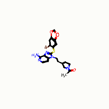 CC(=O)N1CCC(CCn2c(Sc3cc4c(cc3Br)OCO4)nc3c(N)nccc32)C1